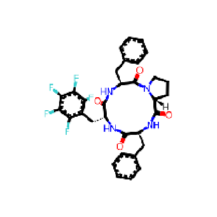 O=C1N[C@H](Cc2c(F)c(F)c(F)c(F)c2F)C(=O)N[C@@H](Cc2ccccc2)C(=O)N2CCC[C@@H]2C(=O)N[C@H]1Cc1ccccc1